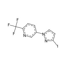 FC(F)(F)c1ccc(-n2ccc(I)n2)cn1